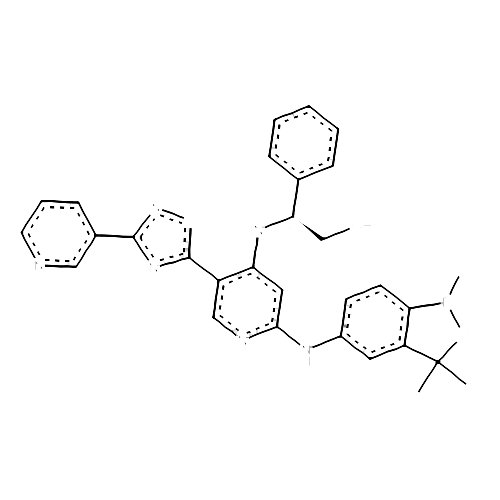 CC1(C)OB(O)c2ccc(Nc3cc(N[C@H](CO)c4ccccc4)c(-c4nc(-c5cccnc5)no4)cn3)cc21